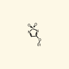 CCOC1=NS(=O)(=O)N=C1